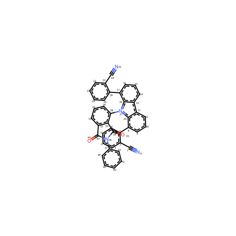 N#Cc1ccccc1-c1cccc2c3cccc(-c4ccccc4C#N)c3n(-c3cccc4c3C(=O)N(c3ccccc3)C4=O)c12